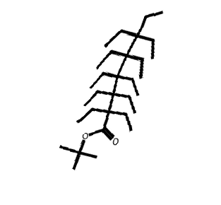 CCC(CC)(CC)C(CC)(CC)C(CC)(CC)C(CC)(CC)C(CC)(CC)C(=O)OC(C)(C)C